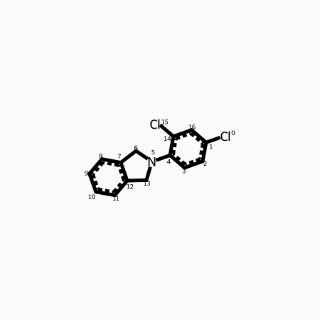 Clc1ccc(N2Cc3ccccc3C2)c(Cl)c1